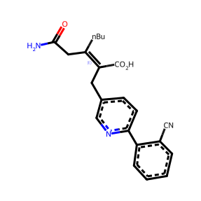 CCCC/C(CC(N)=O)=C(/Cc1ccc(-c2ccccc2C#N)nc1)C(=O)O